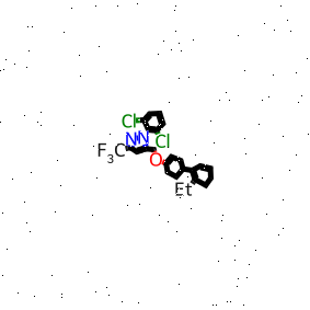 CCC1=C(C2CC=C(OCc3cc(C(F)(F)F)nn3-c3c(Cl)cccc3Cl)CC2)C=CCC1